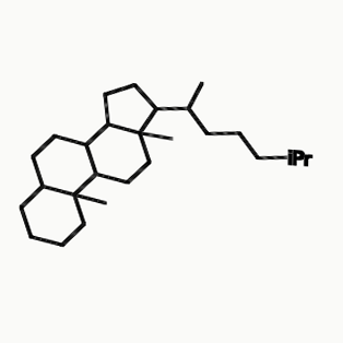 CC(C)CCCC(C)C1CCC2C3CCC4CCCCC4(C)C3CCC12C